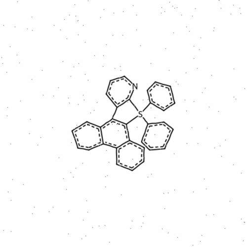 c1ccc(S2(c3ccccc3)c3ncccc3-c3c2c2ccccc2c2ccccc32)cc1